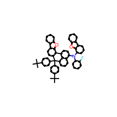 CC(C)(C)c1ccc(C2(c3ccc(C(C)(C)C)cc3)c3ccc4c(oc5ccccc54)c3-c3ccc(N(c4ccccc4F)c4cccc5c4oc4ccccc45)c4cccc2c34)cc1